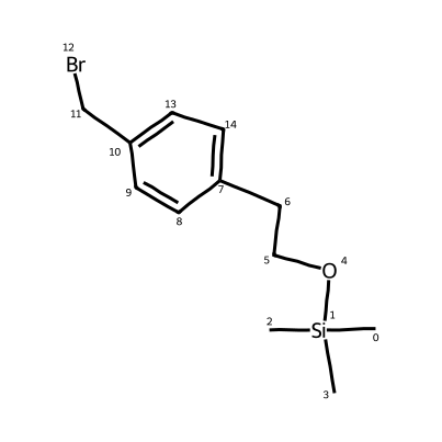 C[Si](C)(C)OCCc1ccc(CBr)cc1